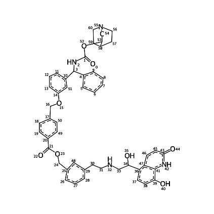 O=C(NC(c1ccccc1)c1cccc(OCc2ccc(C(=O)OCc3cccc(CCNCC(O)c4ccc(O)c5[nH]c(=O)ccc45)c3)cc2)c1)OC1CN2CCC1CC2